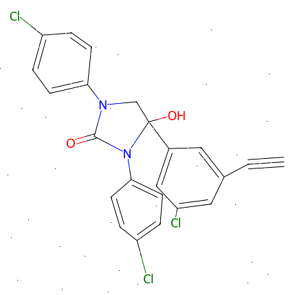 C#Cc1cc(Cl)cc(C2(O)CN(c3ccc(Cl)cc3)C(=O)N2c2ccc(Cl)cc2)c1